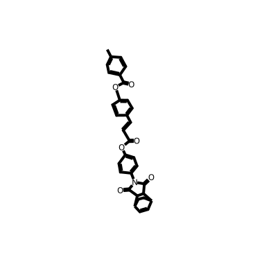 Cc1ccc(C(=O)Oc2ccc(/C=C/C(=O)Oc3ccc(N4C(=O)C5C6C=CC(CC6)C5C4=O)cc3)cc2)cc1